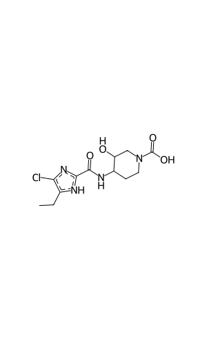 CCc1[nH]c(C(=O)NC2CCN(C(=O)O)CC2O)nc1Cl